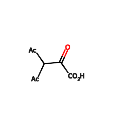 CC(=O)C(C(C)=O)C(=O)C(=O)O